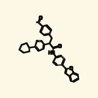 O=[C]c1ccc(CC(C(=O)Nc2ccc(-c3cc4ccccc4o3)cc2)c2ccc(C3CCCCC3)cc2)cc1